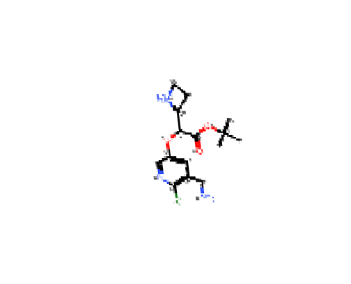 CC(C)(C)OC(=O)C(Oc1cnc(Cl)c(CN)c1)[C@@H]1CCN1